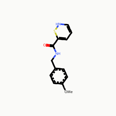 COc1ccc(CNC(=O)C2=CC=CNS2)cc1